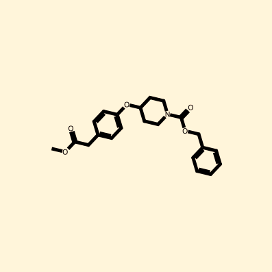 COC(=O)Cc1ccc(OC2CCN(C(=O)OCc3ccccc3)CC2)cc1